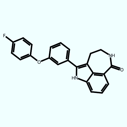 O=C1NCCc2c(-c3cccc(Oc4ccc(F)cc4)c3)[nH]c3cccc1c23